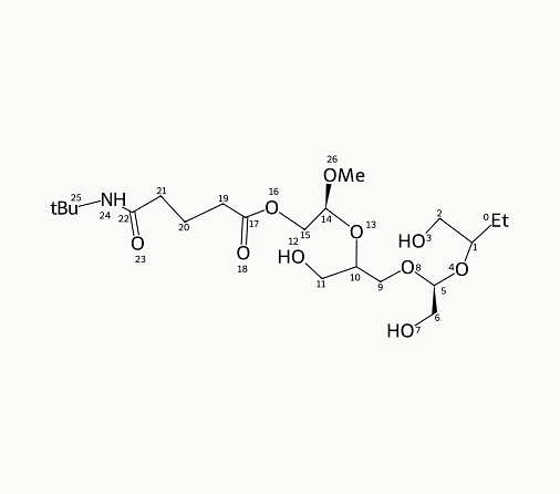 CCC(CO)O[C@@H](CO)OCC(CO)O[C@@H](COC(=O)CCCC(=O)NC(C)(C)C)OC